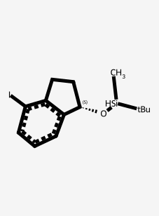 C[SiH](O[C@H]1CCc2c(I)cccc21)C(C)(C)C